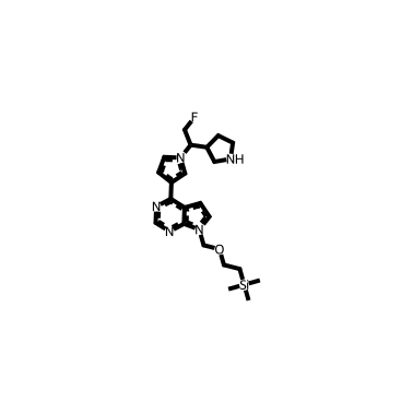 C[Si](C)(C)CCOCn1ccc2c(-c3ccn(C(CF)C4CCNC4)c3)ncnc21